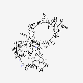 C/C1=C/C=C/[C@H](C)[C@H](O)[C@@H](C)[C@@H](O)[C@@H](C)C(C)[C@H](C)[C@@H](CO)/C=C/O[C@@]2(C)Oc3c(C)c(O)c4c(O)c(cc(OCC(=O)NCCNC(C)C(=O)NCC5NC(=O)C(C(=O)O)NC(=O)C(O)CNC(=O)C(C(C)O)NC(=O)C(C(O)C(O)C(N)=O)NC(=O)C(C(C)C)CC(=O)C(CO)NC5=O)c4c3C2=O)NC1=O